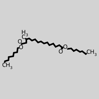 CCCCCCCCOC(=O)CCCCCCCCCCCC(C)CC(=O)OCCCCCCCC